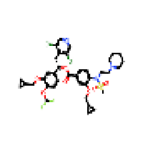 CS(=O)(=O)N(CCN1CCCCC1)c1ccc(C(=O)O[C@@H](Cc2c(Cl)cncc2Cl)c2ccc(OC(F)F)c(OCC3CC3)c2)cc1OCC1CC1